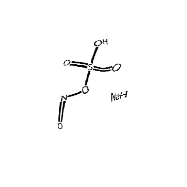 O=NOS(=O)(=O)O.[NaH]